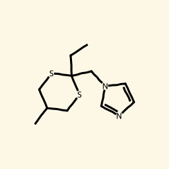 CCC1(Cn2ccnc2)SCC(C)CS1